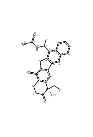 CC[C@@]1(O)C(=O)OCc2c1cc1n(c2=O)Cc2c-1nc1ccccc1c2C(C)NC(=N)N